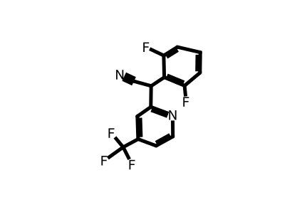 N#CC(c1cc(C(F)(F)F)ccn1)c1c(F)cccc1F